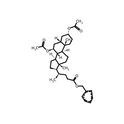 CC(=O)O[C@@H]1CC[C@@]2(C)[C@@H](C1)C[C@H](OC(C)=O)[C@@H]1[C@@H]2CC[C@]2(C)[C@@H]([C@H](C)CCC(=O)OCc3ccccc3)CC[C@@H]12